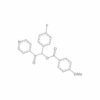 COc1ccc(C(=O)OC(C(=O)c2ccncc2)c2ccc(F)cc2)cc1